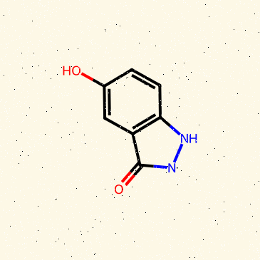 O=C1[N]Nc2ccc(O)cc21